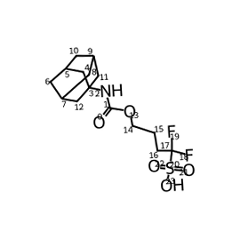 O=C(NC12CC3CC(CC(C3)C1)C2)OCCCC(F)(F)S(=O)(=O)O